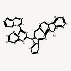 c1ccc2c(-c3nc(-n4c5ccccc5c5cc6c(ccc7c8ccccc8sc67)cc54)nc4ccccc34)cccc2c1